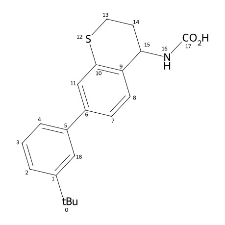 CC(C)(C)c1cccc(-c2ccc3c(c2)SCCC3NC(=O)O)c1